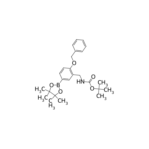 CC(C)(C)OC(=O)NCc1cc(B2OC(C)(C)C(C)(C)O2)ccc1OCc1ccccc1